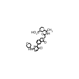 C[C@@H](NC(=O)CN1Cc2ccc(-c3nc(NC4CCOCC4)ncc3Cl)cc2C1=O)[C@H]1CCCN(C(=O)O)C1